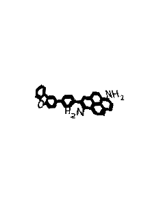 Nc1ccc2ccc3c(N)c(-c4ccc(-c5ccc6oc7ccccc7c6c5)cc4)cc4ccc1c2c43